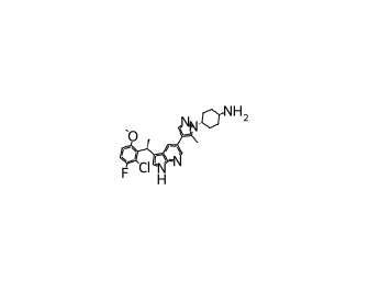 COc1ccc(F)c(Cl)c1[C@@H](C)c1c[nH]c2ncc(-c3cnn([C@H]4CC[C@H](N)CC4)c3C)cc12